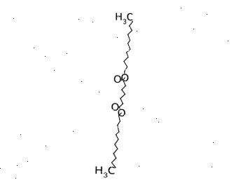 CCCCCCCCCCCCCOC(=O)CCCCCC(=O)OCCCCCCCCCCCCC